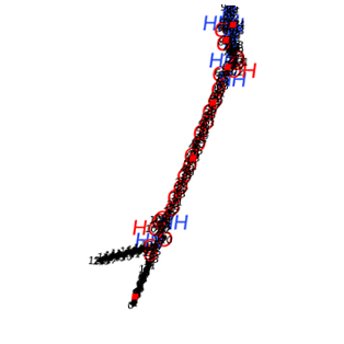 CCCCCCCCCCCCCCOCC(CNC(=O)CC[C@H](NC(=O)CCOCCOCCOCCOCCOCCOCCOCCOCCOCCOCCOCCOCCNC(=O)CC[C@H](NC(=O)c1ccc(N(C=O)Cc2cnc3nc(N=CN(C)C)[nH]c(=O)c3n2)cc1)C(=O)O)C(=O)O)OCCCCCCCCCCCCCC